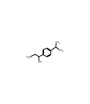 CC(C)c1ccc(C(O)CN)cc1